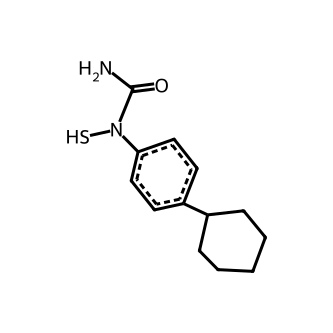 NC(=O)N(S)c1ccc(C2CCCCC2)cc1